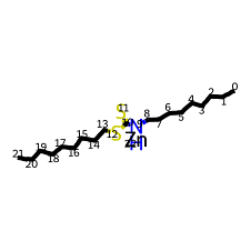 CCCCCCCCCNC(=S)SCCCCCCCCC.[Zn]